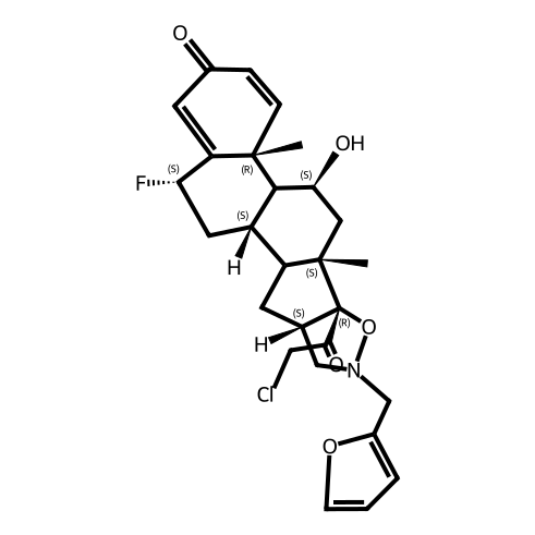 C[C@]12C=CC(=O)C=C1[C@@H](F)C[C@@H]1C2[C@@H](O)C[C@@]2(C)C1C[C@H]1CN(Cc3ccco3)O[C@]12C(=O)CCl